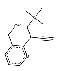 C#CC(C[Si](C)(C)C)c1ncccc1CO